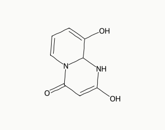 O=C1C=C(O)NC2C(O)=CC=CN12